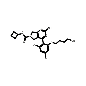 N#CCCCCOc1cc(Cl)cc(Cl)c1-c1nc(N)nc2c1CN(C(=O)NC1CCC1)C2